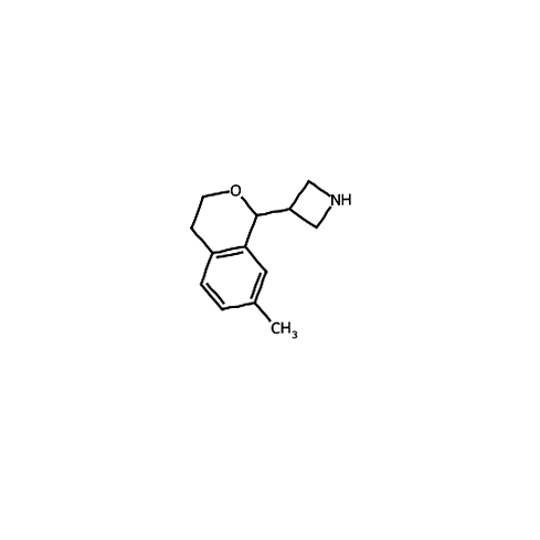 Cc1ccc2c(c1)C(C1CNC1)OCC2